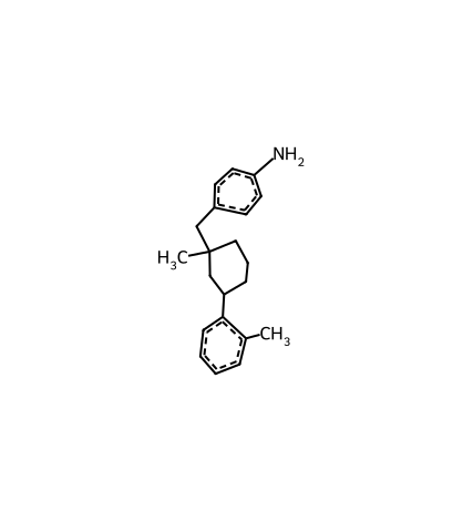 Cc1ccccc1C1CCCC(C)(Cc2ccc(N)cc2)C1